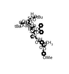 COc1ccc(COc2cn(C)c3ccc(C(=O)NCC[N+]4(CC5=C(C(=O)OC(c6ccccc6)c6ccccc6)N6C(=O)[C@@H](NC(=O)C(=NOC(C)(C)C(=O)OC(C)(C)C)c7csc(NC(=O)OC(C)(C)C)n7)[C@H]6SC5)CCCC4)cc3c2=O)cc1